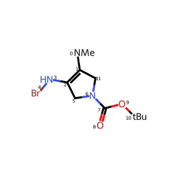 CNC1=C(NBr)CN(C(=O)OC(C)(C)C)C1